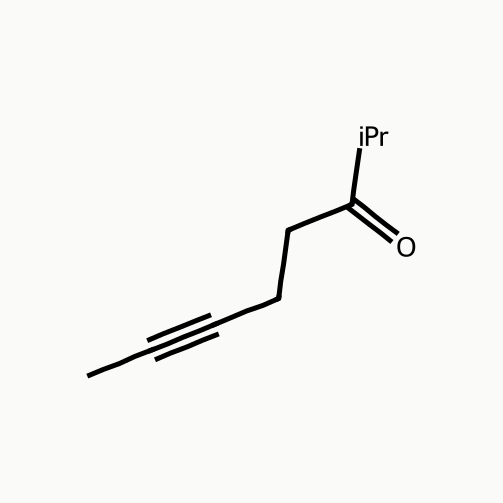 CC#CCCC(=O)C(C)C